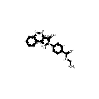 CCOC(=O)c1ccc(-n2[nH]c3c(nnc4ccccc43)c2=O)cc1